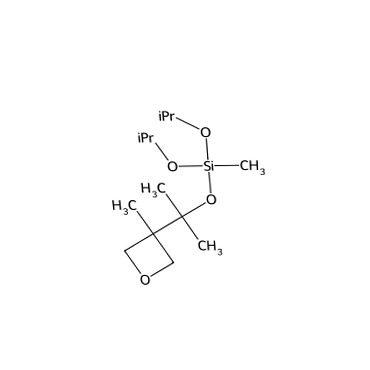 CC(C)O[Si](C)(OC(C)C)OC(C)(C)C1(C)COC1